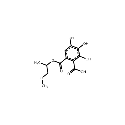 COCC(C)OC(=O)c1cc(O)c(O)c(O)c1C(=O)O